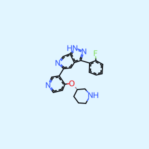 Fc1ccccc1-c1n[nH]c2cnc(-c3cnccc3O[C@H]3CCCNC3)cc12